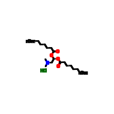 CCCCCCCCCCCCCCCC(=O)OC(CN(C)C)OC(=O)CCCCCCCCCCCCCCC.Cl